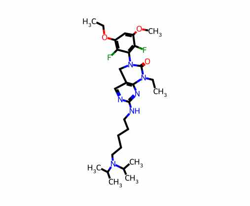 CCOc1cc(OC)c(F)c(N2Cc3cnc(NCCCCCN(C(C)C)C(C)C)nc3N(CC)C2=O)c1F